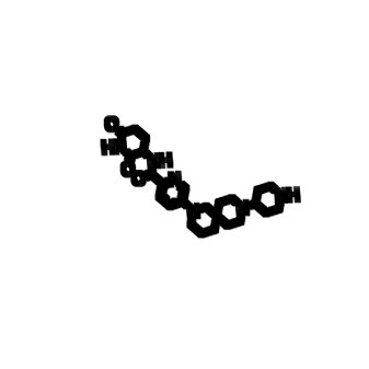 O=C1CCC(NC(=O)c2ccc(N3CCCC4(CCN(C5CCNCC5)CC4)C3)cn2)C(=O)N1